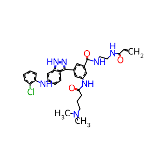 C=CC(=O)NCCNC(=O)c1cc(NC(=O)CCCN(C)C)cc(-c2n[nH]c3cc(Nc4ccccc4Cl)ccc23)c1